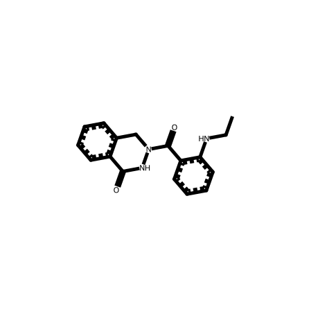 CCNc1ccccc1C(=O)N1Cc2ccccc2C(=O)N1